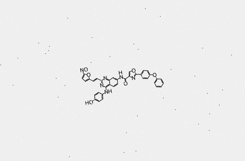 O=Nc1ccc(/C=C/c2nc(Nc3ccc(O)cc3)c3ccc(NC(=O)c4coc(-c5ccc(Oc6ccccc6)cc5)n4)cc3n2)o1